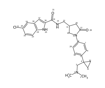 CN(C)CC1(c2ccc(N3CC(CNC(=O)c4cc5cc(Cl)ccc5[nH]4)CC3=O)cc2)CC1